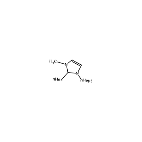 CCCCCCCN1C=CN(C)C1CCCCCC